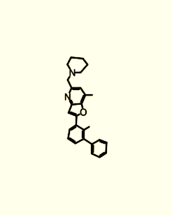 Cc1c(-c2ccccc2)cccc1-c1cc2nc(CN3CCCCC3)cc(C)c2o1